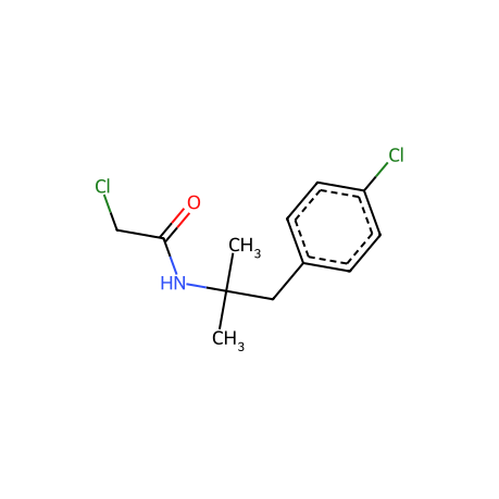 CC(C)(Cc1ccc(Cl)cc1)NC(=O)CCl